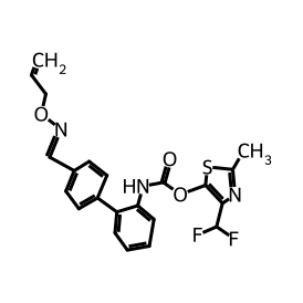 C=CCON=Cc1ccc(-c2ccccc2NC(=O)Oc2sc(C)nc2C(F)F)cc1